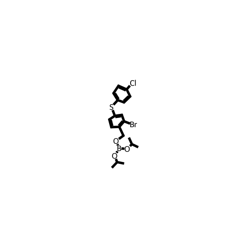 CC(C)OB(OCc1ccc(Sc2ccc(Cl)cc2)cc1Br)OC(C)C